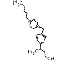 CCCCCN1CCN(Cc2ccc(C(C)CCC)cc2)CC1